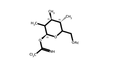 CC(=O)OCC1O[C@@H](OC(=N)C(Cl)(Cl)Cl)C(C)[C@@H](C)[C@@H]1C